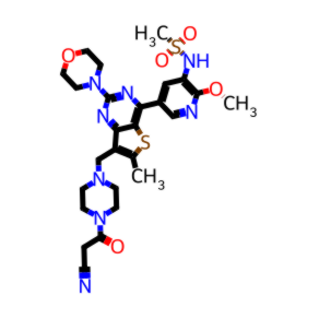 COc1ncc(-c2nc(N3CCOCC3)nc3c(CN4CCN(C(=O)CC#N)CC4)c(C)sc23)cc1NS(C)(=O)=O